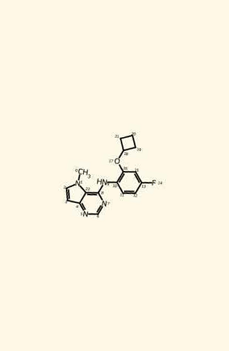 Cn1ccc2ncnc(Nc3ccc(F)cc3OC3CCC3)c21